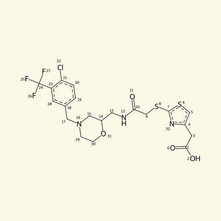 O=C(O)Cc1csc(SCC(=O)NCC2CN(Cc3ccc(Cl)c(C(F)(F)F)c3)CCO2)n1